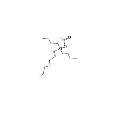 CCCCCCC=C[Si](CCCC)(CCCC)OC(C)=O